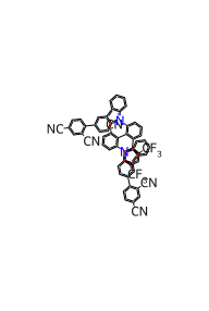 N#Cc1ccc(-c2ccc3c(c2)c2ccccc2n3-c2cccc(C#N)c2-c2c(-c3ccc(C(F)(F)F)cc3C(F)(F)F)cccc2-n2c3ccccc3c3cc(-c4ccc(C#N)cc4C#N)ccc32)c(C#N)c1